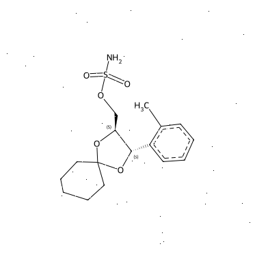 Cc1ccccc1[C@@H]1OC2(CCCCC2)O[C@H]1COS(N)(=O)=O